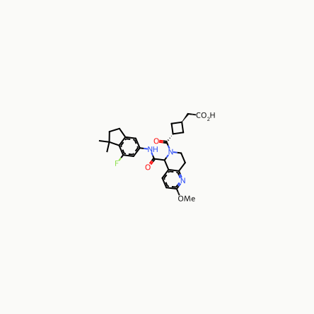 COc1ccc2c(n1)CCN(C(=O)[C@H]1C[C@H](CC(=O)O)C1)C2C(=O)Nc1cc(F)c2c(c1)CCC2(C)C